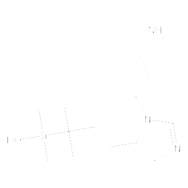 CC(C)(CCc1cncn1CCCN)[Si](C)(C)O